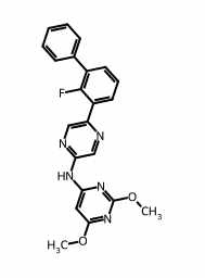 COc1cc(Nc2cnc(-c3cccc(-c4ccccc4)c3F)cn2)nc(OC)n1